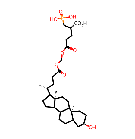 C[C@H](CCC(=O)OCOC(=O)CCC(CP(=O)(O)O)C(=O)O)C1CCC2C3CCC4C[C@H](O)CC[C@]4(C)C3CC[C@@]21C